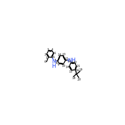 Cc1ccccc1Nc1ccc(Nc2ccc(C(C)(C)C)cc2)cc1